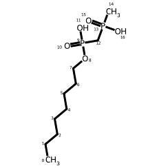 CCCCCCCCOP(=O)(O)CP(C)(=O)O